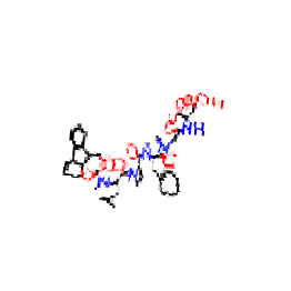 CC(C)C[C@@H](C(=O)N1CC[C@H]1C(=O)N(C)[C@@H](CC1CCCCC1)C(=O)N(C)CC(=O)N[C@@H](CC(=O)O)C(=O)O)N(C)C(=O)OCC1c2ccccc2-c2ccccc21